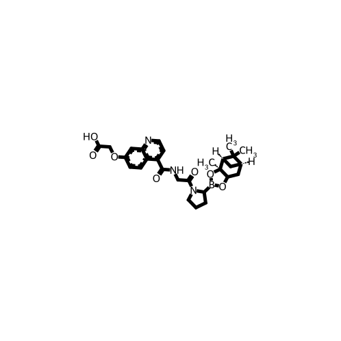 CC1(C)[C@H]2CC3OB(C4CCCN4C(=O)CNC(=O)c4ccnc5cc(OCC(=O)O)ccc45)O[C@@]3(C)[C@@H]1C2